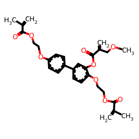 C=C(C)C(=O)OCCOc1ccc(-c2ccc(OCCOC(=O)C(=C)C)c(OC(=O)C(=C)COC)c2)cc1